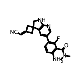 CN(C)C(=O)c1c(N)ccc(-c2cnc3c(c2)C2(CN3)CC(=CC#N)C2)c1F